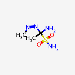 C/N=N\C(C)(N)S(N)(=O)=O